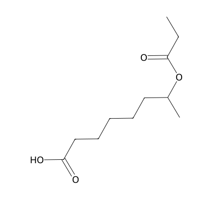 CCC(=O)OC(C)CCCCCC(=O)O